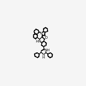 C1=C(c2ccc3c(c2)NC(c2ccccc2)c2c-3oc3c4ccccc4n(-c4ccccc4)c23)NC(c2ccccc2)NC1c1ccccc1